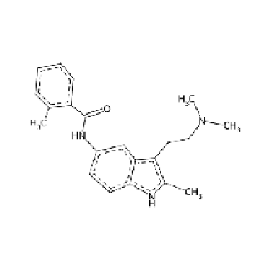 Cc1ccccc1C(=O)Nc1ccc2[nH]c(C)c(CCN(C)C)c2c1